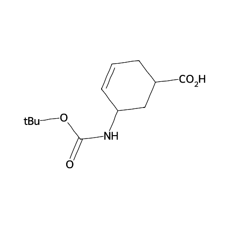 CC(C)(C)OC(=O)NC1C=CCC(C(=O)O)C1